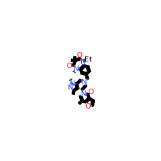 CCN1C(=O)C(C)(C)C(=O)N(C)c2cc(CN(CCn3cc(C)c4occc4c3=O)Cc3cc(C)nn3C)ccc21